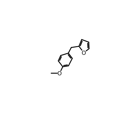 COc1ccc(Cc2ccco2)cc1